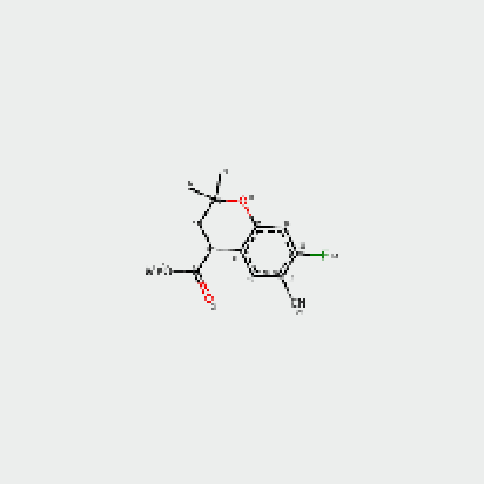 COC(=O)C1CC(C)(C)Oc2cc(F)c(C#N)cc21